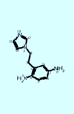 Nc1ccc(N)c(CCn2ccnc2)c1